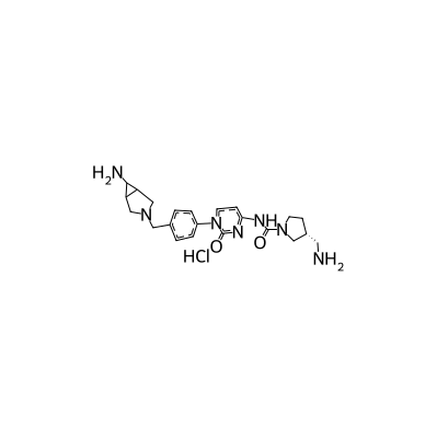 Cl.NC[C@H]1CCN(C(=O)Nc2ccn(-c3ccc(CN4CC5C(N)C5C4)cc3)c(=O)n2)C1